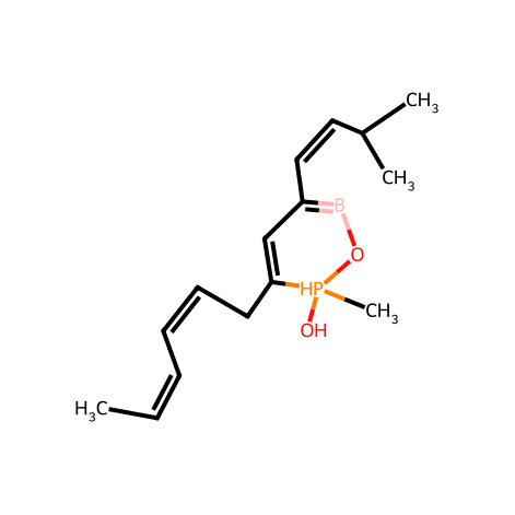 C/C=C\C=C/CC1=CC(/C=C\C(C)C)=BO[PH]1(C)O